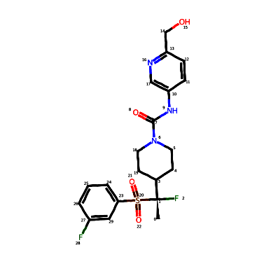 C[C@](F)(C1CCN(C(=O)Nc2ccc(CO)nc2)CC1)S(=O)(=O)c1cccc(F)c1